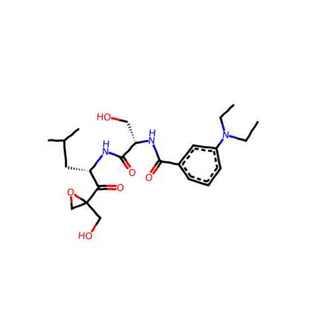 CCN(CC)c1cccc(C(=O)N[C@@H](CO)C(=O)N[C@@H](CC(C)C)C(=O)C2(CO)CO2)c1